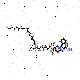 CCCCCCCC/C=C\CCCCCCCCN(CCC)CCCCCC(=O)OC(C)(C)Cn1c(COCC)nc2c(N)nc3ccccc3c21